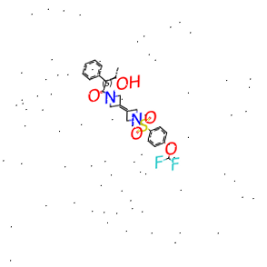 CC(O)[C@@H](C(=O)N1CC(=C2CN(S(=O)(=O)c3ccc(OC(F)F)cc3)C2)C1)c1ccccc1